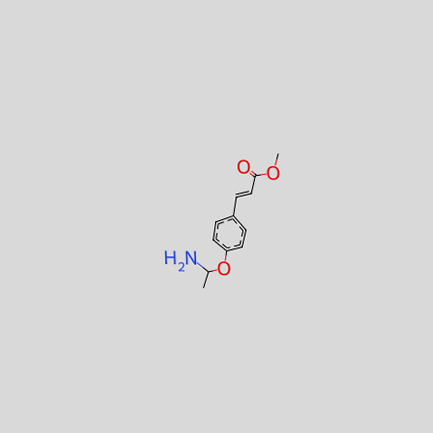 COC(=O)C=Cc1ccc(OC(C)N)cc1